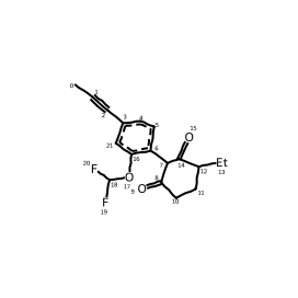 CC#Cc1ccc(C2C(=O)CCC(CC)C2=O)c(OC(F)F)c1